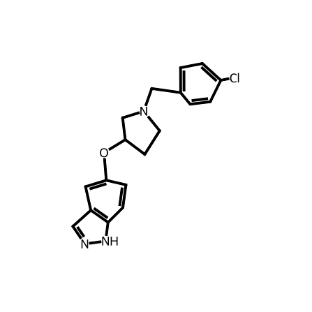 Clc1ccc(CN2CCC(Oc3ccc4[nH]ncc4c3)C2)cc1